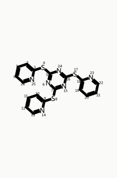 c1ccc(Sc2nc(Sc3ccccn3)nc(Sc3ccccn3)n2)nc1